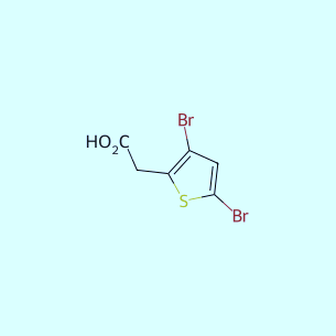 O=C(O)Cc1sc(Br)cc1Br